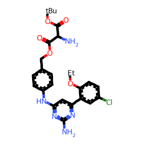 CCOc1ccc(Cl)cc1-c1cc(Nc2ccc(COC(=O)C(N)C(=O)OC(C)(C)C)cc2)nc(N)n1